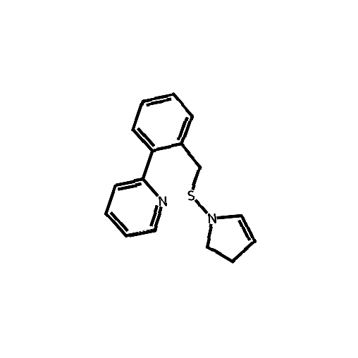 C1=CN(SCc2ccccc2-c2ccccn2)CC1